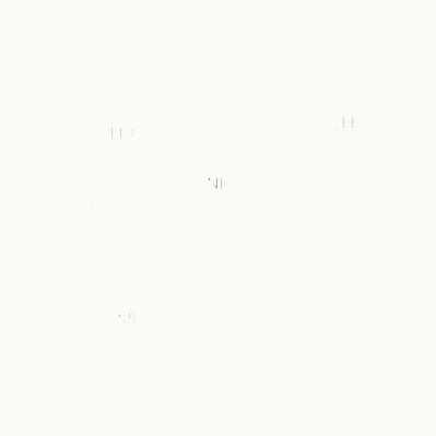 CCCC(CC)NC(CO)CCO